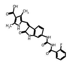 Cc1[nH]c(/C=C2\C(=O)Nc3cc(NC(=O)NC(=O)c4ccccc4F)ccc32)c(C)c1C(=O)O